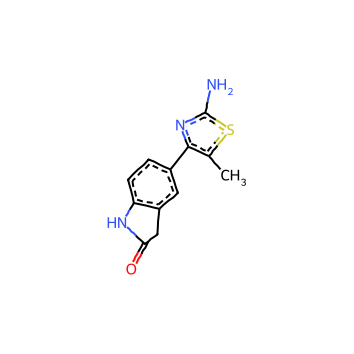 Cc1sc(N)nc1-c1ccc2c(c1)CC(=O)N2